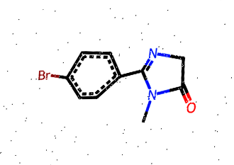 CN1C(=O)CN=C1c1ccc(Br)cc1